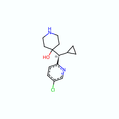 OC1([C@H](c2ccc(Cl)cn2)C2CC2)CCNCC1